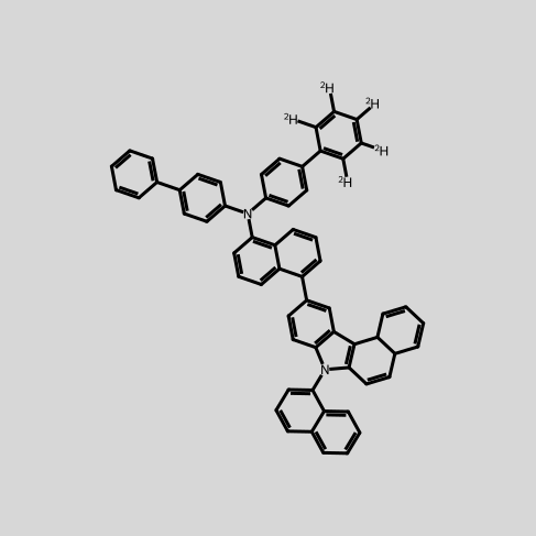 [2H]c1c([2H])c([2H])c(-c2ccc(N(c3ccc(-c4ccccc4)cc3)c3cccc4c(-c5ccc6c(c5)c5c(n6-c6cccc7ccccc67)C=CC6C=CC=CC56)cccc34)cc2)c([2H])c1[2H]